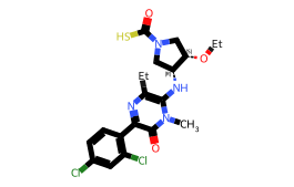 CCO[C@H]1CN(C(=O)S)C[C@H]1Nc1c(CC)nc(-c2ccc(Cl)cc2Cl)c(=O)n1C